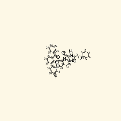 O=C(COc1ccccc1)NC1C(=O)N2C(C(=O)OC(c3ccccc3)c3ccccc3)=C(COc3cccc(F)c3)CS[C@@H]12